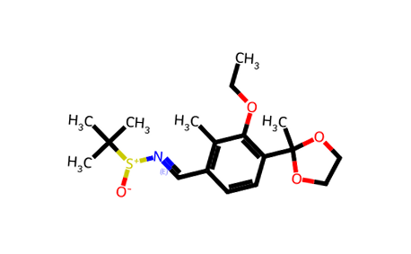 CCOc1c(C2(C)OCCO2)ccc(/C=N/[S+]([O-])C(C)(C)C)c1C